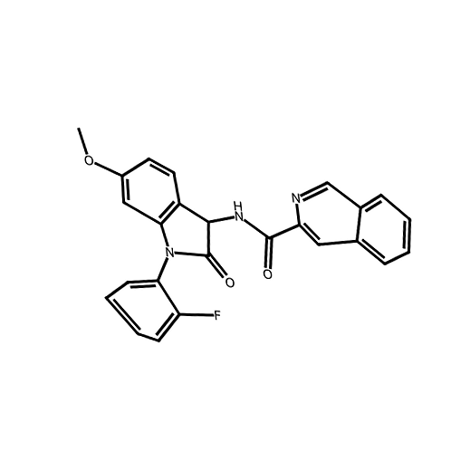 COc1ccc2c(c1)N(c1ccccc1F)C(=O)C2NC(=O)c1cc2ccccc2cn1